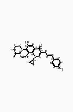 COc1c(N2CCNC(C)C2)c(F)cc2c(=O)c(C/C=C/c3ccc(Cl)cc3)cn(C3CC3)c12